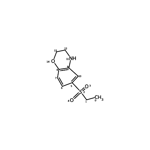 CCS(=O)(=O)c1ccc2c(c1)NCCO2